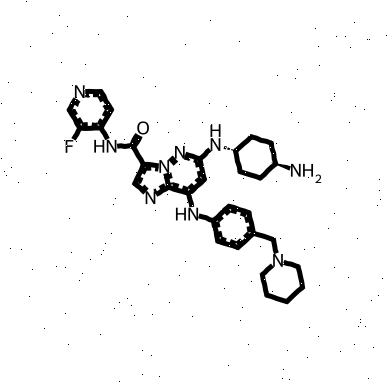 N[C@H]1CC[C@H](Nc2cc(Nc3ccc(CN4CCCCC4)cc3)c3ncc(C(=O)Nc4ccncc4F)n3n2)CC1